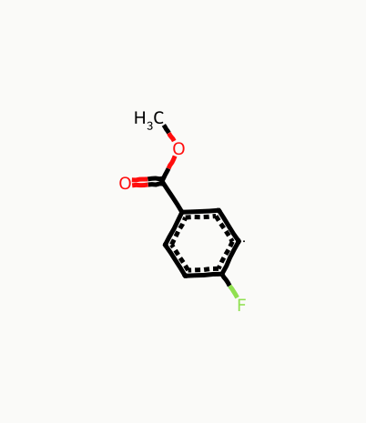 COC(=O)c1c[c]c(F)cc1